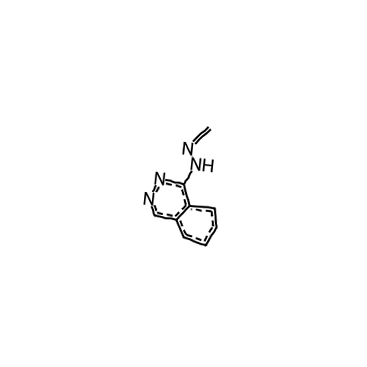 C=NNc1nncc2ccccc12